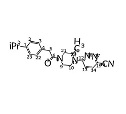 CC(C)c1ccc(CC(=O)N2CCN(c3ccc(C#N)nn3)[C@@H](C)C2)cc1